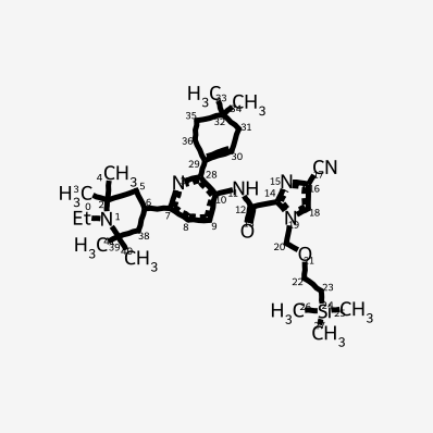 CCN1C(C)(C)CC(c2ccc(NC(=O)c3nc(C#N)cn3COCC[Si](C)(C)C)c(C3=CCC(C)(C)CC3)n2)CC1(C)C